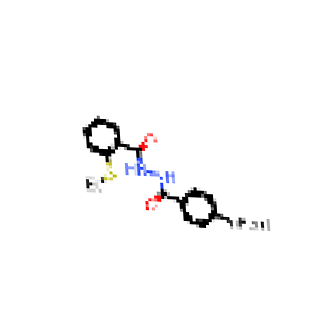 CCCCCc1ccc(C(=O)NNC(=O)c2ccccc2SCC)cc1